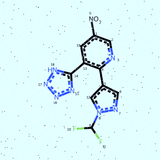 O=[N+]([O-])c1cnc(-c2cnn(C(F)F)c2)c(-c2nnn[nH]2)c1